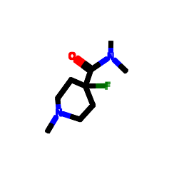 CN1CCC(F)(C(=O)N(C)C)CC1